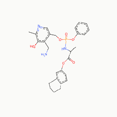 Cc1ncc(COP(=O)(NC(C)C(=O)Oc2ccc3c(c2)CCCC3)Oc2ccccc2)c(CN)c1O